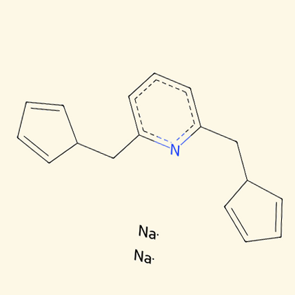 C1=CC(Cc2cccc(CC3C=CC=C3)n2)C=C1.[Na].[Na]